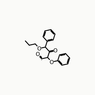 CCCOC(C(=O)C([C]=O)Oc1ccccc1)c1ccccc1